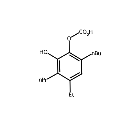 CCCCc1cc(CC)c(CCC)c(O)c1OC(=O)O